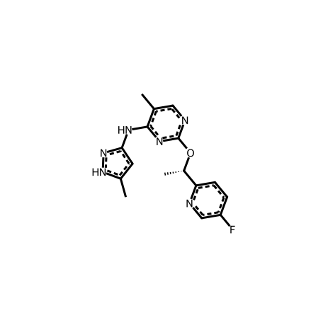 Cc1cc(Nc2nc(O[C@@H](C)c3ccc(F)cn3)ncc2C)n[nH]1